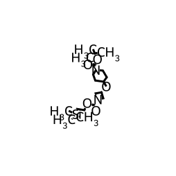 CC(C)(C)OC(=O)N1CCC(OC2CN(C(=O)OCC[Si](C)(C)C)C2)CC1